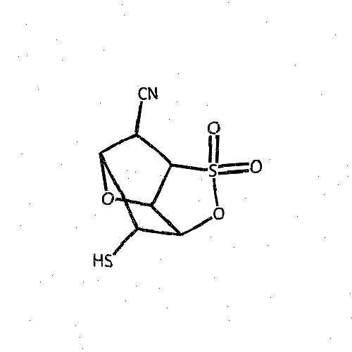 N#CC1C2OC3C(OS(=O)(=O)C13)C2S